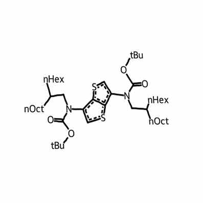 CCCCCCCCC(CCCCCC)CN(C(=O)OC(C)(C)C)c1csc2c(N(CC(CCCCCC)CCCCCCCC)C(=O)OC(C)(C)C)csc12